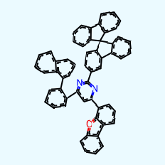 c1ccc(-c2cccc3ccccc23)c(-c2cc(-c3cccc4c3oc3ccccc34)nc(-c3ccc4c(c3)-c3ccccc3C43c4ccccc4-c4ccccc43)n2)c1